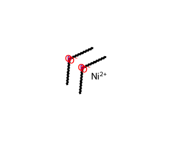 CCCCCCCCC=CCCCCCCCCP(=O)([O-])CCCCCCCCC=CCCCCCCCC.CCCCCCCCC=CCCCCCCCCP(=O)([O-])CCCCCCCCC=CCCCCCCCC.[Ni+2]